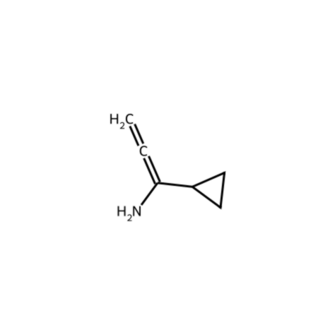 C=C=C(N)C1CC1